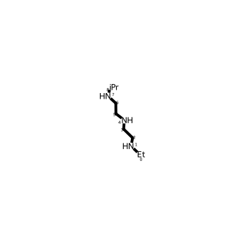 CCNCCNCCNC(C)C